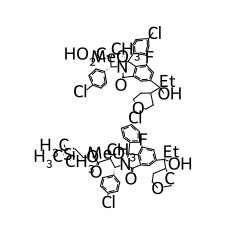 CC[C@@](O)(c1cc(F)c2c(c1)C(=O)N([C@H](c1ccc(Cl)cc1)[C@H](C)C(=O)O)[C@@]2(OC)c1ccc(Cl)cc1)C1CCOCC1.CC[C@@](O)(c1cc(F)c2c(c1)C(=O)N([C@H](c1ccc(Cl)cc1)[C@H](C)C(=O)OCC[Si](C)(C)C)[C@@]2(OC)c1ccc(Cl)cc1)C1CCOCC1